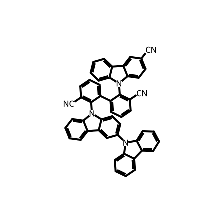 N#Cc1ccc2c(c1)c1ccccc1n2-c1c(C#N)cccc1-c1cccc(C#N)c1-n1c2ccccc2c2cc(-n3c4ccccc4c4ccccc43)ccc21